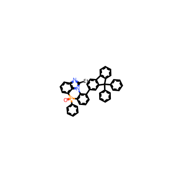 CCc1nc2cccc3c2n1-c1c(-c2ccc4c(c2)C(c2ccccc2)(c2ccccc2)c2ccccc2-4)cccc1P3(=O)c1ccccc1